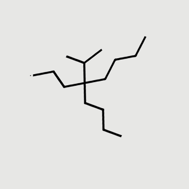 [CH2]CCC(CCCC)(CCCC)C(C)C